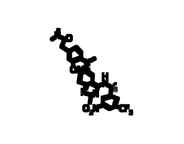 COc1cc(CC(=O)N(C)C)ccc1N(C)c1ccc2nc(C)nc(N[C@H](C)c3cc([N+](=O)[O-])cc(C(F)(F)F)c3)c2c1